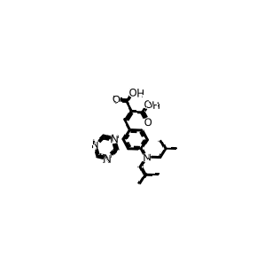 CC(C)CN(CC(C)C)c1ccc(C=C(C(=O)O)C(=O)O)cc1.c1ncncn1